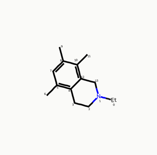 CCN1CCc2c(C)cc(C)c(C)c2C1